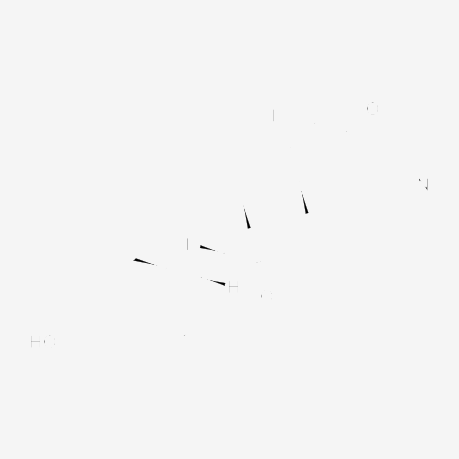 CC1(C)CC[C@]2(CC3CC(O)C3)CC[C@]3(C)[C@H](C(=O)C=C4[C@@]5(C)C=C(C#N)C(=O)C(C)(C)[C@@H]5CC[C@]43C)[C@@H]2C1